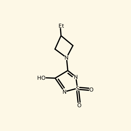 CCC1CN(C2=NS(=O)(=O)N=C2O)C1